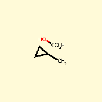 CC1CC1.O=C(O)O